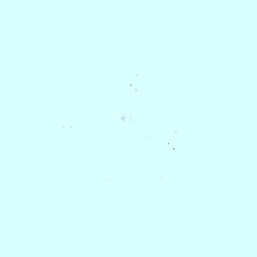 COc1c(C=O)cccc1[N+](=O)[O-].O=Cc1cccc([N+](=O)[O-])c1O